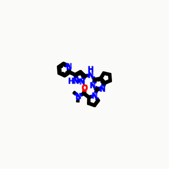 CN(C)C(=O)C1CCCN1c1nc2c(c(Nc3cc(-c4ccccn4)[nH]n3)n1)CCC2